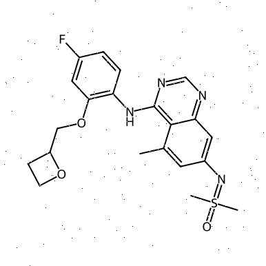 Cc1cc(N=S(C)(C)=O)cc2ncnc(Nc3ccc(F)cc3OCC3CCO3)c12